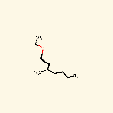 C[CH]CC[C@@H](C)CCOCC